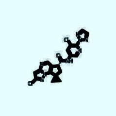 O=C(Nc1cnc(-n2nccn2)c(Cl)c1)[C@@H]1CC2(CC2)c2c1cnc1cc(Cl)nn21